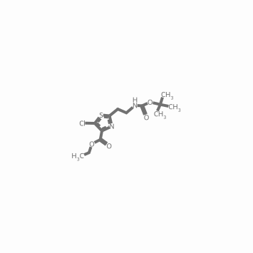 CCOC(=O)c1nc(CCNC(=O)OC(C)(C)C)sc1Cl